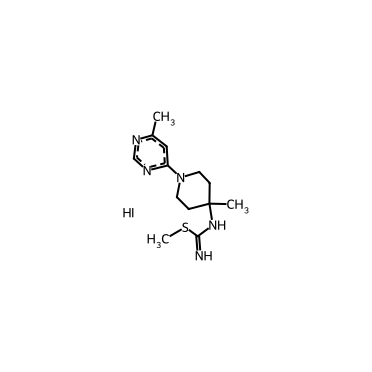 CSC(=N)NC1(C)CCN(c2cc(C)ncn2)CC1.I